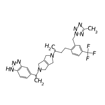 C=C(CCc1ccc(C(F)(F)F)cc1Cn1nnc(C)n1)N1CC2=C(C1)CN(C(=C)c1ccc3[nH]nnc3c1)C2